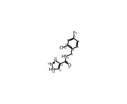 O=C(NCc1ccc(F)cc1Cl)c1c[nH]nn1